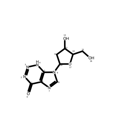 O=c1nn[nH]c2c1ncn2C1CC(O)C(CO)O1